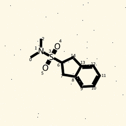 CN(C)S(=O)(=O)C1Cc2ccccc2C1